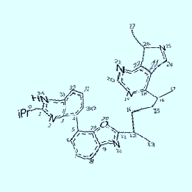 CC(C)c1nc2c(-c3cccc4nc(C(C)CCC(C)c5ncnc6c5C=NC6C)oc34)cccc2[nH]1